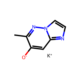 Cc1nn2ccnc2cc1[O-].[K+]